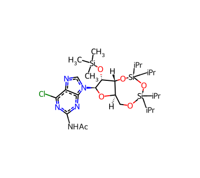 CC(=O)Nc1nc(Cl)c2ncn([C@@H]3O[C@@H]4CO[Si](C(C)C)(C(C)C)O[Si](C(C)C)(C(C)C)O[C@H]4[C@H]3O[Si](C)(C)C)c2n1